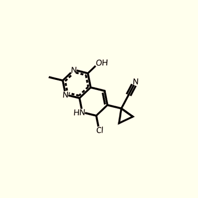 Cc1nc(O)c2c(n1)NC(Cl)C(C1(C#N)CC1)=C2